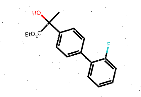 CCOC(=O)C(C)(O)c1ccc(-c2ccccc2F)cc1